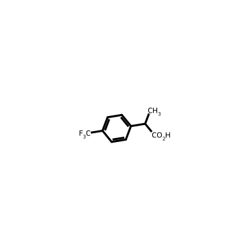 CC(C(=O)O)c1ccc(C(F)(F)F)cc1